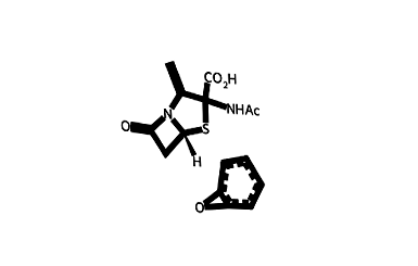 C=C1N2C(=O)C[C@H]2SC1(NC(C)=O)C(=O)O.c1ccc2c(c1)O2